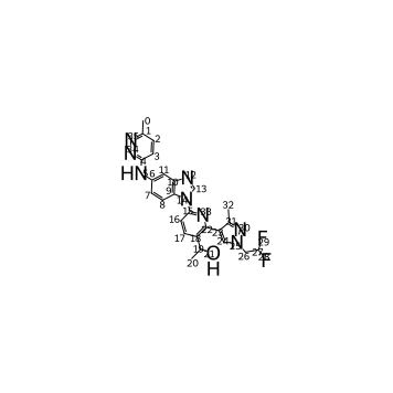 Cc1ccc(Nc2ccc3c(c2)ncn3-c2ccc(C(C)O)c(-c3cn(CC(F)F)nc3C)n2)nn1